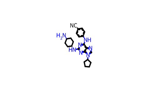 N#Cc1ccc(Nc2nc(N[C@H]3CC[C@H](N)CC3)nc3c2ncn3C2CCCC2)cc1